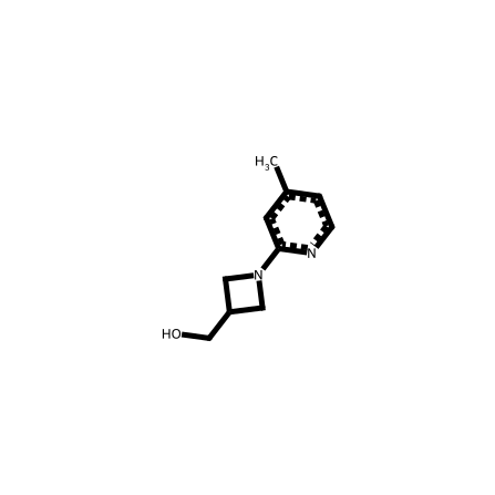 Cc1ccnc(N2CC(CO)C2)c1